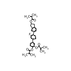 C=C(C)C(=O)Oc1ccc(-c2ccc(-c3ccc4c(c3)CC(OC(=O)C(=C)C)C4)c(F)c2)cc1OC(=O)C(=C)C